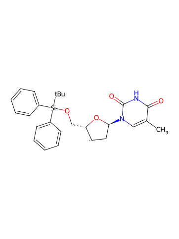 Cc1cn([C@H]2C[CH][C@H](CO[Si](c3ccccc3)(c3ccccc3)C(C)(C)C)O2)c(=O)[nH]c1=O